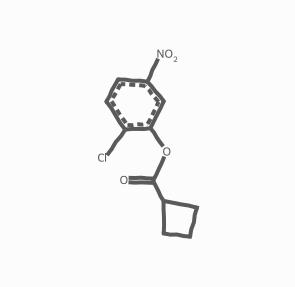 O=C(Oc1cc([N+](=O)[O-])ccc1Cl)C1CCC1